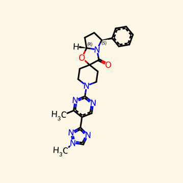 Cc1nc(N2CCC3(CC2)O[C@@H]2CC[C@@H](c4ccccc4)N2C3=O)ncc1-c1ncn(C)n1